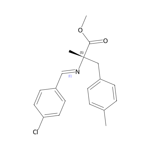 COC(=O)[C@](C)(Cc1ccc(C)cc1)/N=C/c1ccc(Cl)cc1